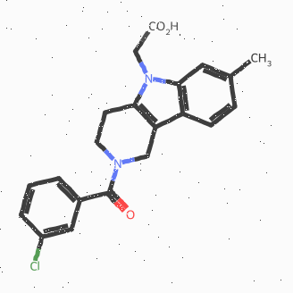 Cc1ccc2c3c(n(CC(=O)O)c2c1)CCN(C(=O)c1cccc(Cl)c1)C3